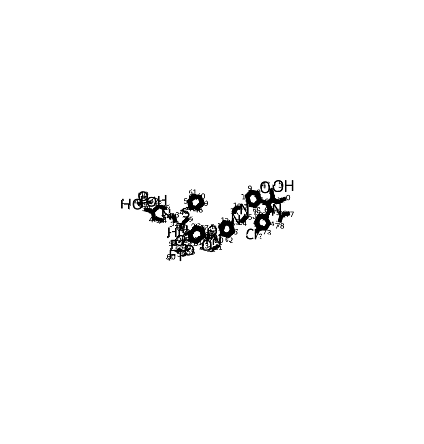 Cc1c(C(=O)O)c(-c2cccc(N3CCN(c4ccc(N5CCO[P@]5(=O)c5ccc(N[C@H](CCN6CCC(CP(=O)(O)O)CC6)CSc6ccccc6)c(S(=O)(=O)C(F)(F)F)c5)cc4)CC3)c2)c(-c2ccc(Cl)cc2)n1C(C)C